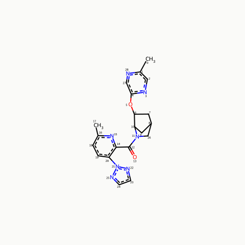 Cc1cnc(OC2CC3CC2N(C(=O)c2nc(C)ccc2-n2nccn2)C3)cn1